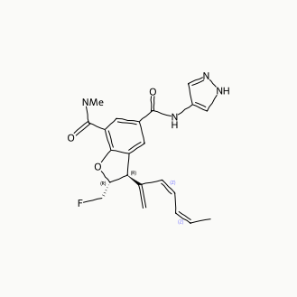 C=C(/C=C\C=C/C)[C@@H]1c2cc(C(=O)Nc3cn[nH]c3)cc(C(=O)NC)c2O[C@H]1CF